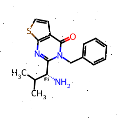 CC(C)[C@@H](N)c1nc2sccc2c(=O)n1Cc1ccccc1